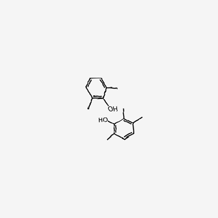 Cc1ccc(C)c(O)c1C.Cc1cccc(C)c1O